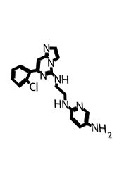 Nc1ccc(NCCNc2nc(-c3ccccc3Cl)cc3nccn23)nc1